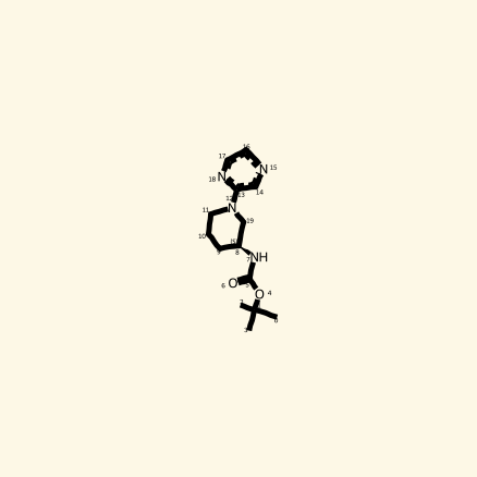 CC(C)(C)OC(=O)N[C@H]1CCCN(c2cnccn2)C1